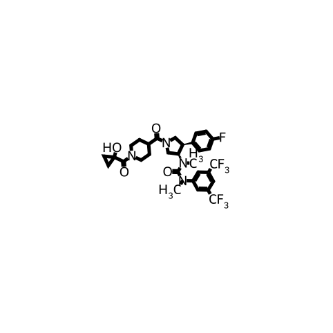 CN(C(=O)N(C)[C@H]1CN(C(=O)C2CCN(C(=O)C3(O)CC3)CC2)C[C@H]1c1ccc(F)cc1)c1cc(C(F)(F)F)cc(C(F)(F)F)c1